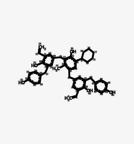 C=Cc1cc(Cc2cc(C3CCCCC3)c(O)c(Cc3cc(C=C)c(O)c(Cc4ccc(O)cc4)c3)c2C)cc(Cc2ccc(O)cc2)c1O